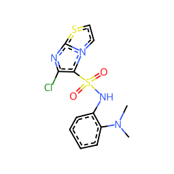 CN(C)c1ccccc1NS(=O)(=O)c1c(Cl)nc2sccn12